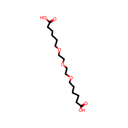 O=C(O)CCCCCOCCOCCOCCCCCC(=O)O